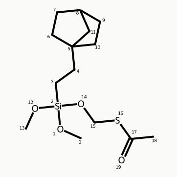 CO[Si](CCC12CCC(CC1)C2)(OC)OCSC(C)=O